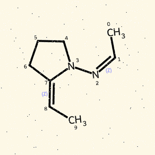 C/C=N\N1CCC/C1=C/C